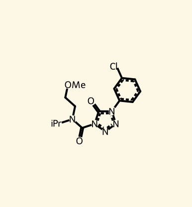 COCCN(C(=O)n1nnn(-c2cccc(Cl)c2)c1=O)C(C)C